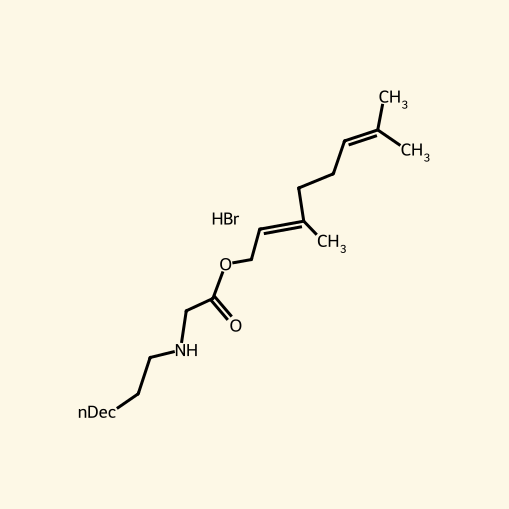 Br.CCCCCCCCCCCCNCC(=O)OC/C=C(\C)CCC=C(C)C